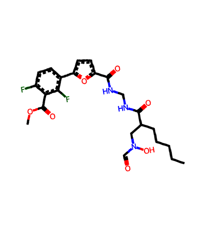 CCCCCC(CN(O)C=O)C(=O)NCNC(=O)c1ccc(-c2ccc(F)c(C(=O)OC)c2F)o1